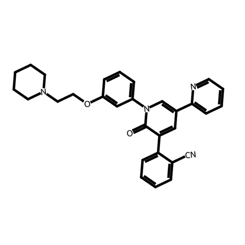 N#Cc1ccccc1-c1cc(-c2ccccn2)cn(-c2cccc(OCCN3CCCCC3)c2)c1=O